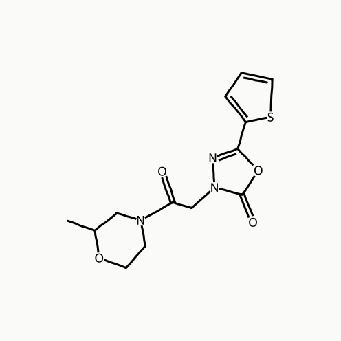 CC1CN(C(=O)Cn2nc(-c3cccs3)oc2=O)CCO1